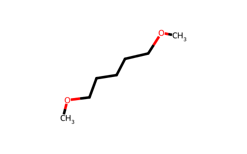 COCCCCCOC